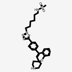 CS(=O)(=O)NCCCCCCn1nnc(-c2ccc(C3=CC4(CCNCC4)Oc4ccccc43)cc2)n1